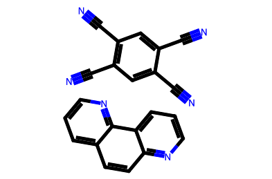 N#Cc1cc(C#N)c(C#N)cc1C#N.c1cnc2c(c1)ccc1ncccc12